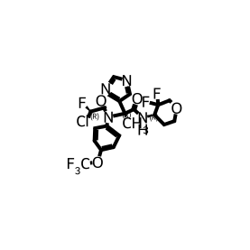 C[C@](C(=O)N[C@@H]1CCOCC1(F)F)(c1cncnc1)N(C(=O)[C@H](F)Cl)c1ccc(OC(F)(F)F)cc1